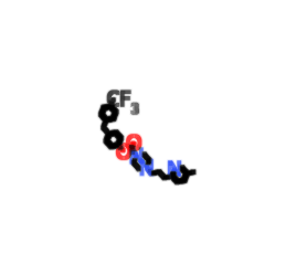 Cc1ccc(CCCN2CCN(C(=O)Oc3ccc(Cc4ccc(C(F)(F)F)cc4)cc3)CC2)nc1